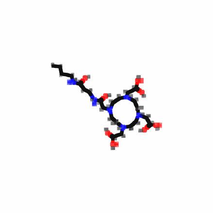 CCCCNC(=O)CCNC(=O)CN1CCN(CC(=O)O)CCN(CC(=O)O)CCN(CC(=O)O)CC1